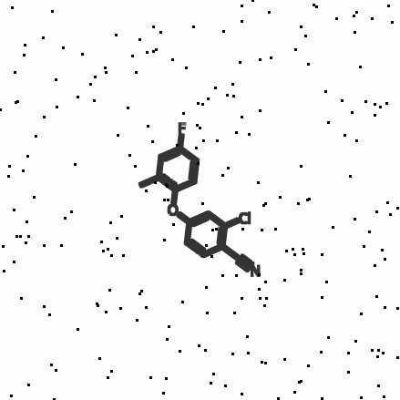 Cc1cc(F)ccc1Oc1ccc(C#N)c(Cl)c1